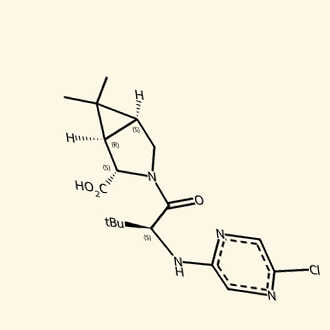 CC(C)(C)[C@H](Nc1cnc(Cl)cn1)C(=O)N1C[C@H]2[C@@H]([C@H]1C(=O)O)C2(C)C